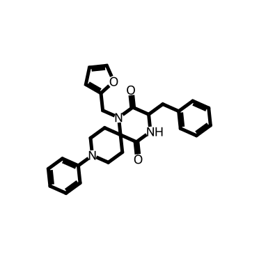 O=C1C(Cc2ccccc2)NC(=O)C2(CCN(c3ccccc3)CC2)N1Cc1ccco1